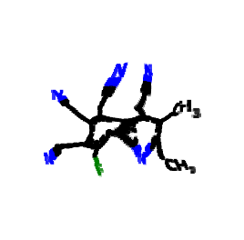 Cc1nc2c(F)c(C#N)c(C#N)c(C#N)c2c(C#N)c1C